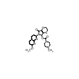 COc1ccc2ccc(N3C(=O)C4=C(SCCO4)C3OC(=O)N3CCN(C)CC3)nc2n1